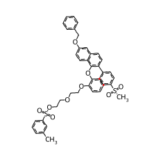 Cc1cccc(S(=O)(=O)OCCOCCOc2ccccc2Oc2c(-c3ccc(S(C)(=O)=O)cc3)ccc3cc(OCc4ccccc4)ccc23)c1